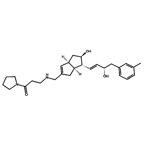 Cc1cccc(C[C@H](O)/C=C/[C@@H]2[C@H]3CC(CNCCC(=O)N4CCCC4)=C[C@H]3C[C@H]2O)c1